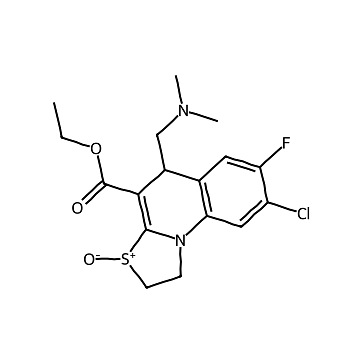 CCOC(=O)C1=C2N(CC[S+]2[O-])c2cc(Cl)c(F)cc2C1CN(C)C